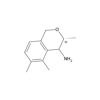 Cc1ccc2c(c1C)C(N)[C@@H](C)OC2